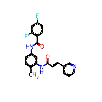 Cc1ccc(NC(=O)c2ccc(F)cc2F)cc1NC(=O)C=Cc1cccnc1